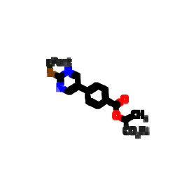 CCCCCSc1ncc(-c2ccc(C(=O)O[C@@H](C)C(=O)OCC)cc2)cn1